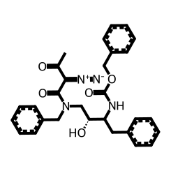 CC(=O)C(=[N+]=[N-])C(=O)N(Cc1ccccc1)C[C@@H](O)C(Cc1ccccc1)NC(=O)OCc1ccccc1